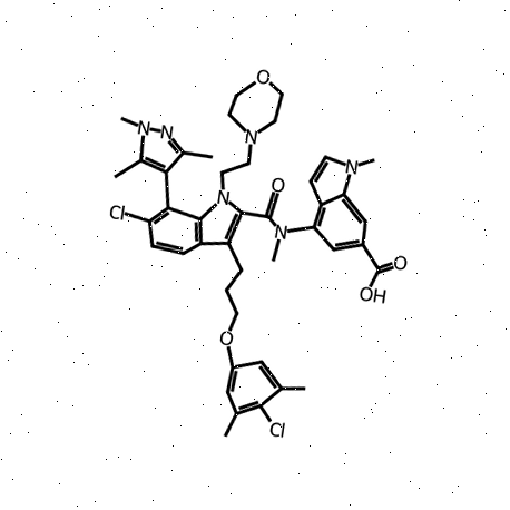 Cc1cc(OCCCc2c(C(=O)N(C)c3cc(C(=O)O)cc4c3ccn4C)n(CCN3CCOCC3)c3c(-c4c(C)nn(C)c4C)c(Cl)ccc23)cc(C)c1Cl